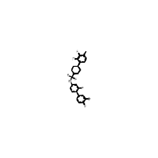 Cc1ccc(C2CCC(C(F)(F)Oc3ccc(-c4ccc(F)c(F)c4)c(F)c3)CC2)c(F)c1F